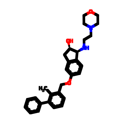 Cc1c(COc2ccc3c(c2)C[C@H](O)[C@H]3NCCN2CCOCC2)cccc1-c1ccccc1